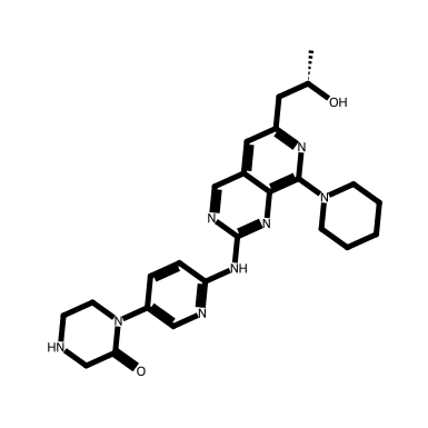 C[C@H](O)Cc1cc2cnc(Nc3ccc(N4CCNCC4=O)cn3)nc2c(N2CCCCC2)n1